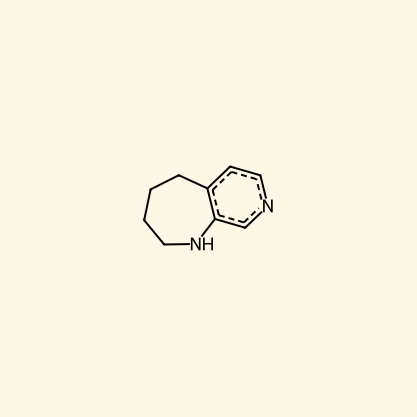 c1cc2c(cn1)NCCCC2